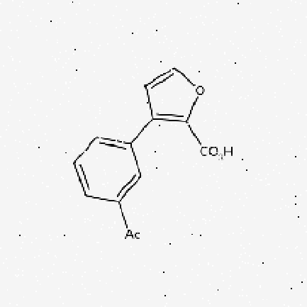 CC(=O)c1cccc(-c2ccoc2C(=O)O)c1